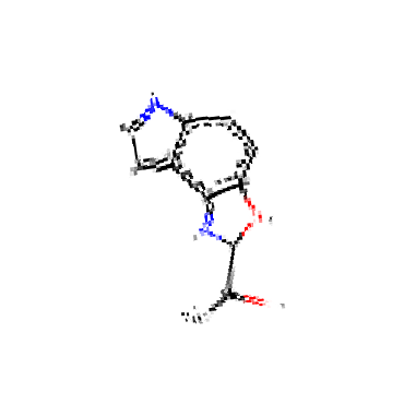 COC(=O)C1N=c2c(ccc3c2=CC=N3)O1